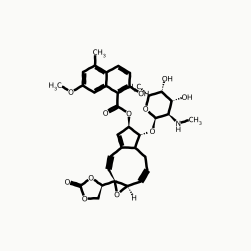 CN[C@H]1[C@@H](O[C@@H]2C3CC#C[C@H]4O[C@@]4([C@H]4COC(=O)O4)C#CC3=C[C@H]2OC(=O)c2c(O)ccc3c(C)cc(OC)cc23)O[C@H](C)[C@H](O)[C@@H]1O